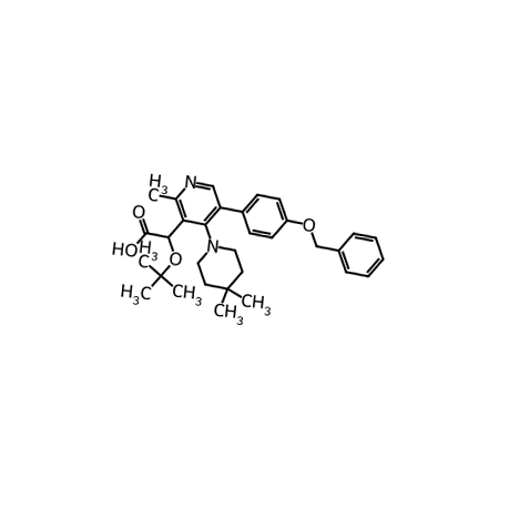 Cc1ncc(-c2ccc(OCc3ccccc3)cc2)c(N2CCC(C)(C)CC2)c1C(OC(C)(C)C)C(=O)O